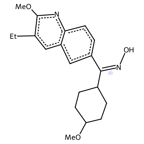 CCc1cc2cc(/C(=N\O)C3CCC(OC)CC3)ccc2nc1OC